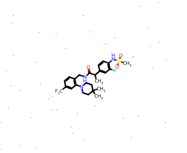 CC(C(=O)NCc1ccc(C(F)(F)F)cc1N1CCC(C)(C)CC1)c1ccc(NS(C)(=O)=O)c(F)c1